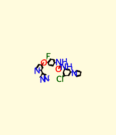 Cn1cc(-c2cc(Oc3ccc(NC(=O)Nc4cc(Cl)cc(-n5cccc5)c4)cc3F)ccn2)cn1